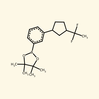 CC(F)(F)C1CCC(c2cccc(B3OC(C)(C)C(C)(C)O3)c2)C1